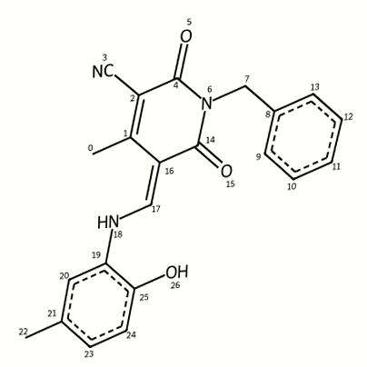 CC1=C(C#N)C(=O)N(Cc2ccccc2)C(=O)C1=CNc1cc(C)ccc1O